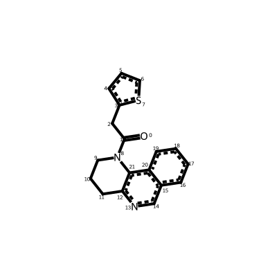 O=C(Cc1cccs1)N1CCCc2ncc3ccccc3c21